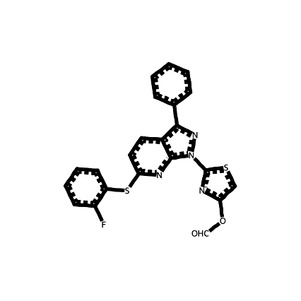 O=COc1csc(-n2nc(-c3ccccc3)c3ccc(Sc4ccccc4F)nc32)n1